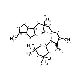 C=C(NC1CC(C)(C)CC(C)(CC)C1)C(C)CCCC(C)(C)CC1CCC2C(C)CCC12